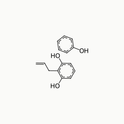 C=CCc1c(O)cccc1O.Oc1ccccc1